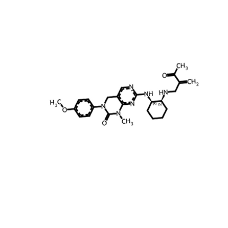 C=C(CN[C@H]1CCCC[C@H]1Nc1ncc2c(n1)N(C)C(=O)N(c1ccc(OC)cc1)C2)C(C)=O